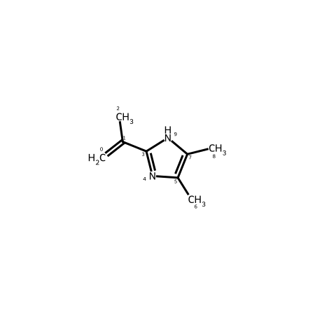 C=C(C)c1nc(C)c(C)[nH]1